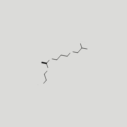 CCC(COCCCOC(=O)OCCOC)OC